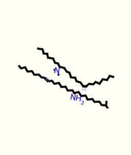 CCCCCCCC/C=C/CCCCCCCC(N)CCCCCCCCC(C)C.CCCCCCCC/C=C\CCCCCCCC(CCCCCCCC)N(C)C